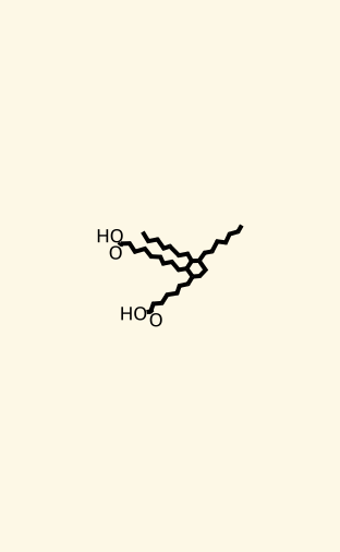 CCCCCCCC1CCC(CCCCCCC(=O)O)C(CCCCCCCCC(=O)O)C1CCCCCCC